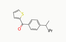 CC(C)C(C)c1ccc(C(=O)c2cccs2)cc1